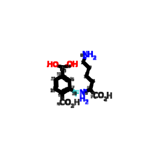 NCCCCC(N)C(=O)O.O=C(O)c1ccc(B(O)O)cc1F